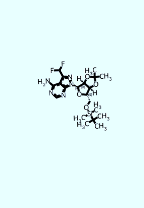 CC1(C)O[C@@H]2[C@H](O1)[C@H](CO[Si](C)(C)C(C)(C)C)O[C@H]2n1nc(C(F)F)c2c(N)ncnc21